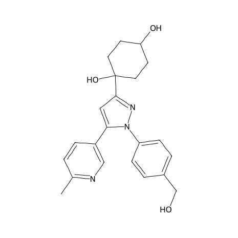 Cc1ccc(-c2cc(C3(O)CCC(O)CC3)nn2-c2ccc(CO)cc2)cn1